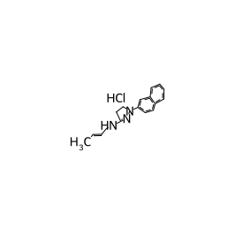 C/C=C/CNC1=NN(c2ccc3ccccc3c2)CC1.Cl